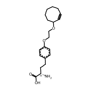 N[C@@H](CCc1ccc(OCCOC2C#CCCCCC2)cc1)C(=O)O